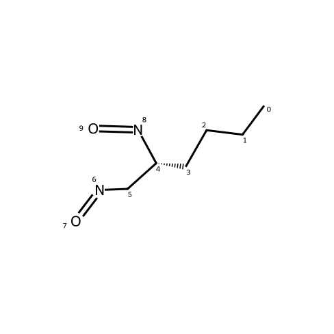 CCCC[C@H](CN=O)N=O